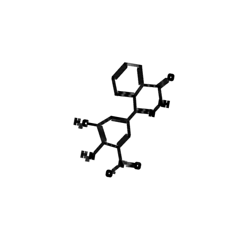 Cc1cc(-c2n[nH]c(=O)c3ccccc23)cc([N+](=O)[O-])c1N